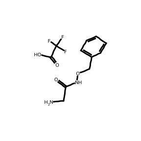 NCC(=O)NOCc1ccccc1.O=C(O)C(F)(F)F